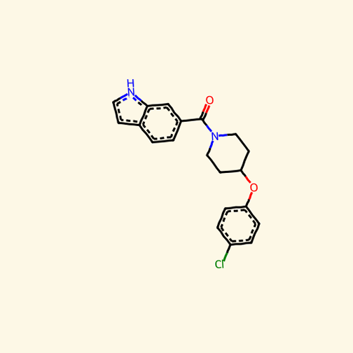 O=C(c1ccc2cc[nH]c2c1)N1CCC(Oc2ccc(Cl)cc2)CC1